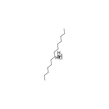 CCCCCCCCCCCCCC.Cl.N